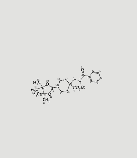 CCOC(=O)C1(COC(=O)c2ccccc2)CCC(B2OC(C)(C)C(C)(C)O2)CC1